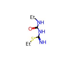 CCNC(=O)NC(=N)SCC